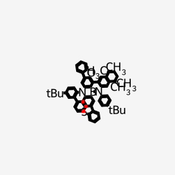 CC(C)(C)c1ccc(N2B3c4cc5c(cc4N(c4ccc(C(C)(C)C)cc4-c4ccccc4)c4cc6c(oc7ccccc76)c(c43)-c3cc4c(cc32)C(C)(C)CCC4(C)C)sc2ccccc25)cc1